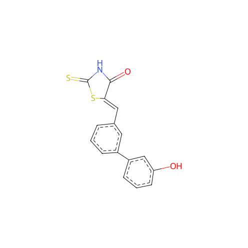 O=C1NC(=S)S/C1=C\c1cccc(-c2cccc(O)c2)c1